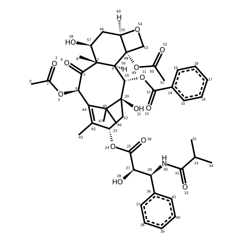 CC(=O)O[C@H]1C(=O)[C@@]2(C)[C@H]([C@H](OC(=O)c3ccccc3)[C@]3(O)C[C@H](OC(=O)[C@H](O)[C@@H](NC(=O)C(C)C)c4ccccc4)C(C)=C1C3(C)C)[C@]1(OC(C)=O)CO[C@@H]1C[C@@H]2O